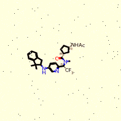 CC(=O)N[C@H]1CC[C@@H](C(=O)N(C)[C@@H](c2ccc(NC3Cc4ccccc4C3(C)C)cn2)C(F)(F)F)C1